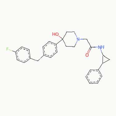 O=C(CN1CCC(O)(c2ccc(Cc3ccc(F)cc3)cc2)CC1)NC1CC1c1ccccc1